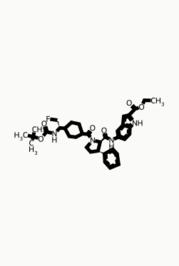 CCOC(=O)c1cc2cc(NC(=O)[C@H]3[C@H](c4ccccc4)CCN3C(=O)C3CCC([C@@H](CF)NC(=O)OC(C)(C)C)CC3)ccc2[nH]1